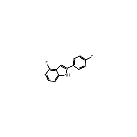 Fc1ccc(-c2cc3c(F)[c]ccc3[nH]2)cc1